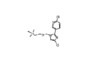 C[Si](C)(C)CCOCn1cc(Cl)nc1-c1ccc(Cl)nc1